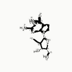 Nc1nc2c(ccn2[C@@H]2O[C@H](CO)[C@H](O)C2F)c(=O)[nH]1